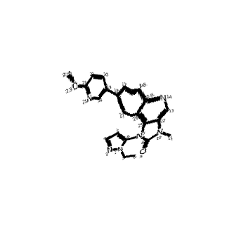 CCn1nccc1-n1c(=O)n(C)c2cnc3ccc(-c4ccc(OC)nc4)cc3c21